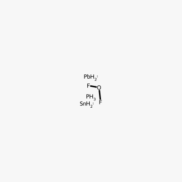 FOF.P.[PbH2].[SnH2]